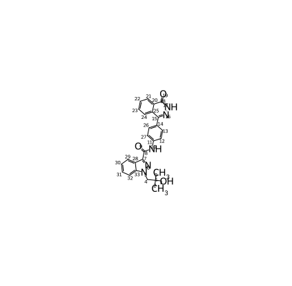 CC(C)(O)Cn1nc(C(=O)Nc2ccc(-c3n[nH]c(=O)c4ccccc34)cc2)c2ccccc21